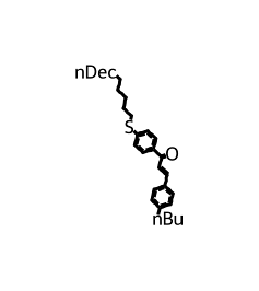 CCCCCCCCCCCCCCCSc1ccc(C(=O)C=Cc2ccc(CCCC)cc2)cc1